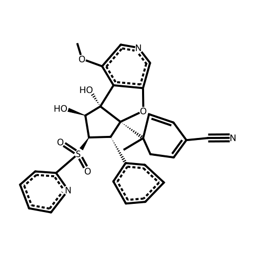 COc1cncc2c1[C@]1(O)[C@H](O)[C@H](S(=O)(=O)c3ccccn3)[C@@H](c3ccccc3)[C@]1(C1(C)C=CC(C#N)=CC1)O2